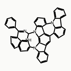 c1ccc(C2=NC(n3c4cccc5c4c4c(cc6c7ccccc7n(-c7ccccc7)c6c43)c3cccc4c6ccccc6n5c34)Nc3ccccc32)cc1